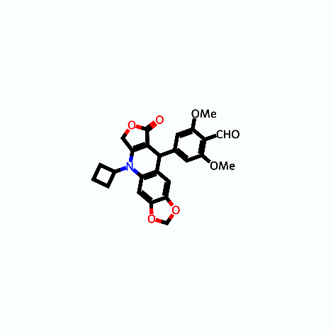 COc1cc(C2C3=C(COC3=O)N(C3CCC3)c3cc4c(cc32)OCO4)cc(OC)c1C=O